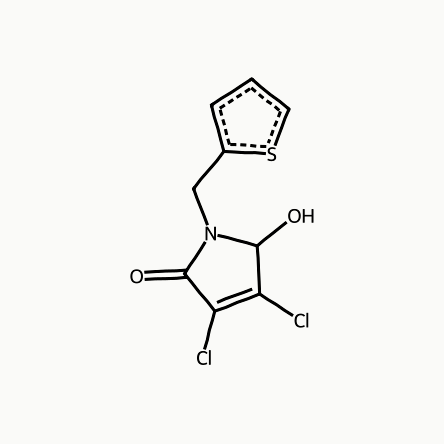 O=C1C(Cl)=C(Cl)C(O)N1Cc1cccs1